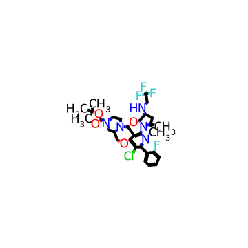 CC(C)(C)OC(=O)N1CCN2C(=O)c3c(N4CC(NCC(F)(F)F)CC4(C)C)nc(-c4ccccc4F)c(Cl)c3OCC2C1